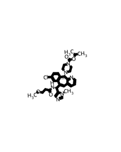 COCCC(=O)N[C@H](C1=Cc2cccnc2[C@@H](N2CCN(C(=O)OC(C)C)CC2)c2ccc(Cl)cc21)c1cncn1C